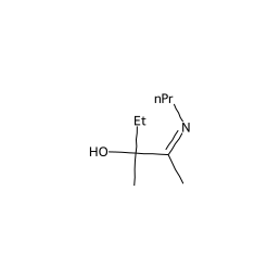 CCCN=C(C)C(C)(O)CC